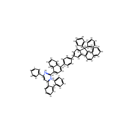 c1ccc(-c2cc(-c3ccccc3-c3ccccc3)nc(-c3ccc(-c4ccc(-c5ccc6c(c5)-c5ccc7ccccc7c5C6(c5ccccc5)c5ccccc5)cc4)c4ccccc34)n2)cc1